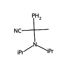 CC(C)N(C(C)C)C(C)(P)C#N